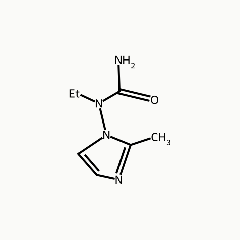 CCN(C(N)=O)n1ccnc1C